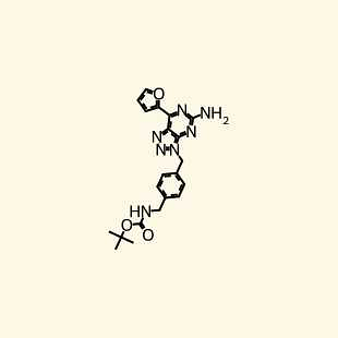 CC(C)(C)OC(=O)NCc1ccc(Cn2nnc3c(-c4ccco4)nc(N)nc32)cc1